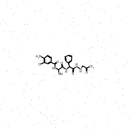 CC(C)(C)C(NC(=O)c1ccc(N)c(Cl)c1)C(=O)NC(C(=O)NNCC(=O)C(F)(F)F)c1ccccc1